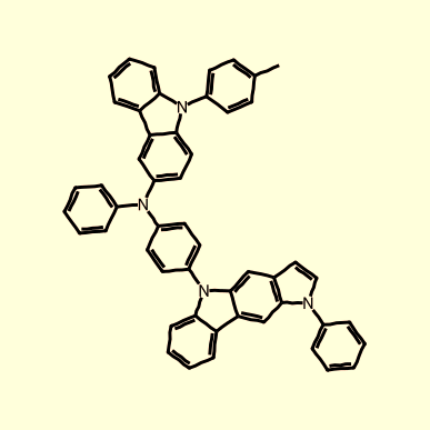 Cc1ccc(-n2c3ccccc3c3cc(N(c4ccccc4)c4ccc(-n5c6ccccc6c6cc7c(ccn7-c7ccccc7)cc65)cc4)ccc32)cc1